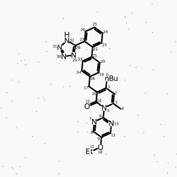 CCCCc1cc(C)n(-c2ncc(OCC)cn2)c(=O)c1Cc1ccc(-c2ccccc2-c2nnn[nH]2)cc1